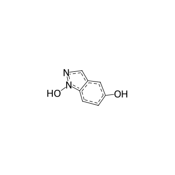 Oc1ccc2c(cnn2O)c1